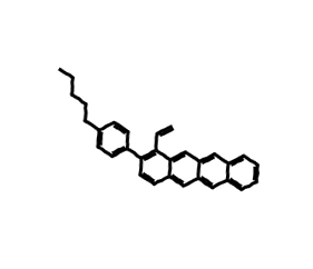 C=Cc1c(-c2ccc(CCCCC)cc2)ccc2cc3cc4ccccc4cc3cc12